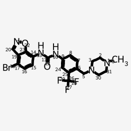 CN1CCN(Cc2ccc(NC(=O)Nc3ccc(Br)c4cnoc34)cc2C(F)(F)F)CC1